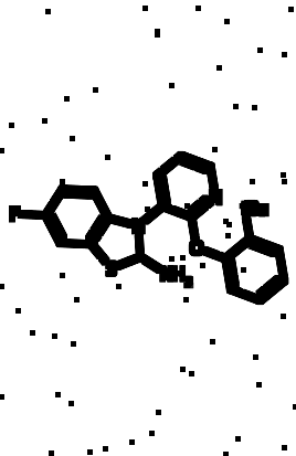 CC(C)(C)c1ccccc1Oc1ncccc1N1c2ccc(F)cc2SC1N